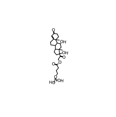 CC12CCC(=O)C=C1CCC1C2C(O)CC2(C)C1CCC2(O)C(=O)COC(=O)CCCON(O)O